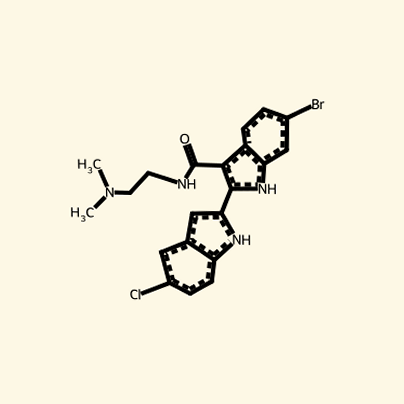 CN(C)CCNC(=O)c1c(-c2cc3cc(Cl)ccc3[nH]2)[nH]c2cc(Br)ccc12